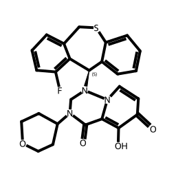 O=C1c2c(O)c(=O)ccn2N([C@@H]2c3ccccc3SCc3cccc(F)c32)CN1C1CCOCC1